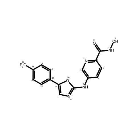 O=C(NO)c1ccc(Nc2ncc(-c3ccc(C(F)(F)F)cc3)o2)cn1